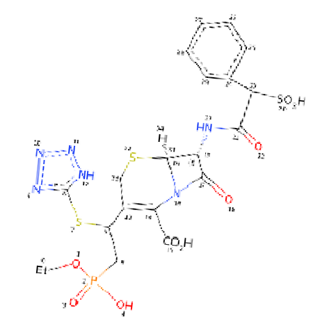 CCOP(=O)(O)CC(Sc1nnn[nH]1)C1=C(C(=O)O)N2C(=O)[C@@H](NC(=O)C(c3ccccc3)S(=O)(=O)O)[C@@H]2SC1